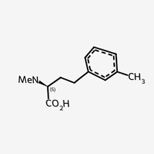 CN[C@@H](CCc1cccc(C)c1)C(=O)O